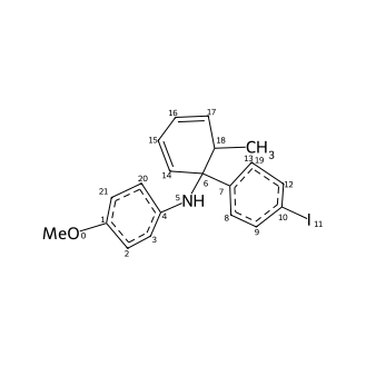 COc1ccc(NC2(c3ccc(I)cc3)C=CC=CC2C)cc1